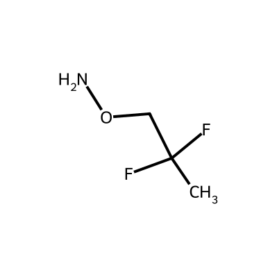 CC(F)(F)CON